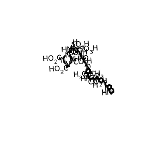 Cc1cc(OCCCC(=O)NCCNC(=O)C(CS(=O)(=O)O)NC(=O)[C@H](CS(=O)(=O)O)NC(=O)CN2CCN(CC(=O)O)CCN(CC(=O)O)CCN(CC(=O)O)CC2)cc(C)c1S(=O)(=O)NC(CNC(=O)c1ccc(CCc2ccc3c(n2)NCCC3)cc1)C(=O)O